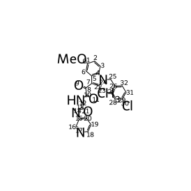 COc1ccc2c(c1)c(C(=O)C(=O)Nc1nc3cnccc3o1)c(C)n2Cc1ccc(Cl)cc1